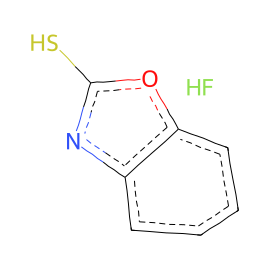 F.Sc1nc2ccccc2o1